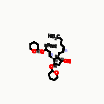 CCCCCC(/C=C/[C@@H]1[C@@H](C/C=C\CCC(=O)O)[C@@H](O)C[C@H]1OC1CCCCO1)O[C@H]1CCCCO1